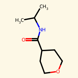 CC(C)NC(=O)C1CCOCC1